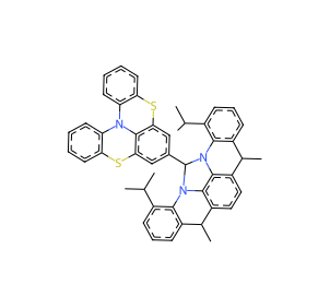 CC(C)c1cccc2c1N1c3c(ccc4c3N(c3c(C(C)C)cccc3C4C)C1c1cc3c4c(c1)Sc1ccccc1N4c1ccccc1S3)C2C